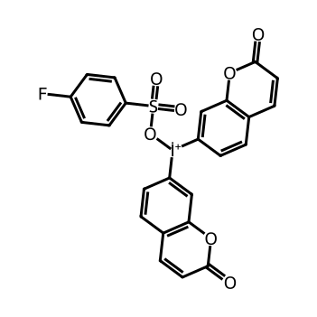 O=c1ccc2ccc([I+](OS(=O)(=O)c3ccc(F)cc3)c3ccc4ccc(=O)oc4c3)cc2o1